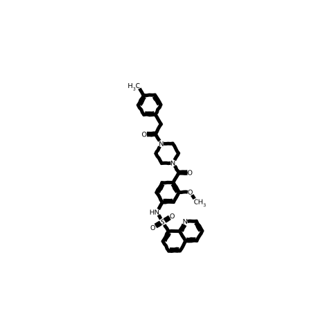 COc1cc(NS(=O)(=O)c2cccc3cccnc23)ccc1C(=O)N1CCN(C(=O)Cc2ccc(C)cc2)CC1